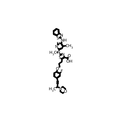 Cc1cc(N(C)c2nc(C(=O)O)c(CCCOc3ccc(C#CC(C)N4CCOCC4)cc3F)s2)nnc1Nc1nc2ccccc2s1